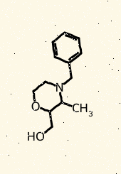 CC1C(CO)OCCN1Cc1ccccc1